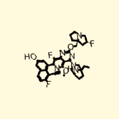 C#Cc1c(F)ccc2cc(O)cc(-c3nc(OC)c4c(N5CC6CCC(CC)(C5)N6)nc(OC[C@@]56CCCN5C[C@H](F)C6)nc4c3F)c12